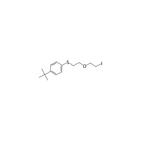 CC(C)(C)c1ccc(SCCOCCI)cc1